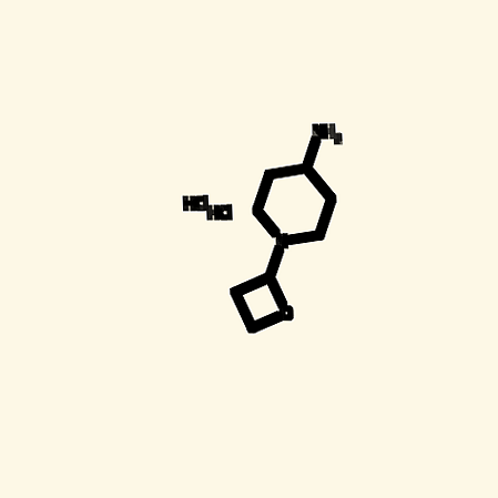 Cl.Cl.NC1CCN(C2CCO2)CC1